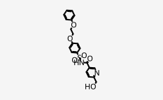 O=C(NS(=O)(=O)c1ccc(OCCOc2ccccc2)cc1)c1ccc(CO)nc1